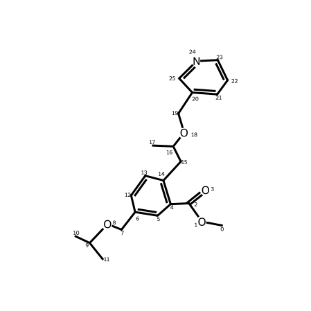 COC(=O)c1cc(COC(C)C)ccc1CC(C)OCc1cccnc1